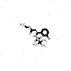 CCOC(=O)C[C@H](NS(=O)(=O)C(C)(C)C)c1cccc(Br)c1